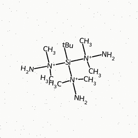 CC(C)(C)[Si]([N+](C)(C)N)([N+](C)(C)N)[N+](C)(C)N